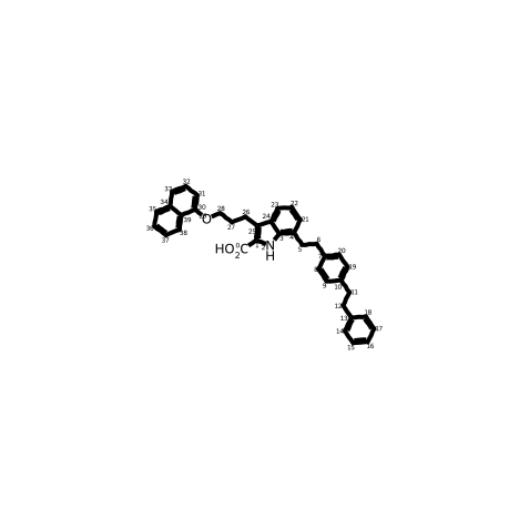 O=C(O)c1[nH]c2c(CCc3ccc(CCc4ccccc4)cc3)cccc2c1CCCOc1cccc2ccccc12